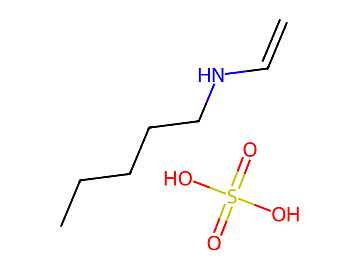 C=CNCCCCC.O=S(=O)(O)O